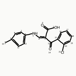 O=C(O)C(=CNc1ccc(I)cc1)C(=O)c1ccccc1Cl